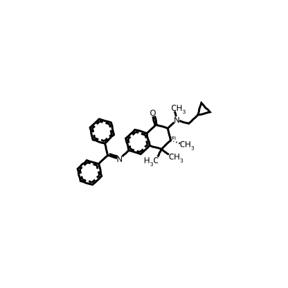 C[C@H]1C(N(C)CC2CC2)C(=O)c2ccc(N=C(c3ccccc3)c3ccccc3)cc2C1(C)C